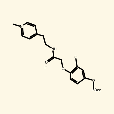 CCCCCCCCCCOc1ccc(OCC(=O)NCCc2cc[n+](C)cc2)c(Cl)c1.[I-]